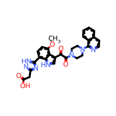 COc1ccc(-c2nc(CC(=O)O)n[nH]2)c2[nH]cc(C(=O)C(=O)N3CCN(c4nccc5ccccc45)CC3)c12